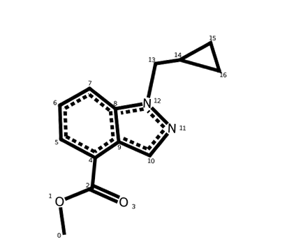 COC(=O)c1cccc2c1cnn2CC1CC1